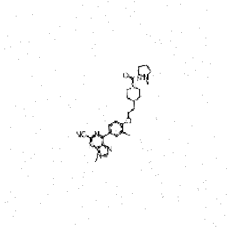 Cc1cc(-c2nc(C#N)nc3c2ncn3C)ccc1OCCC1CCN(C(=O)[C@@H]2CCCN2C)CC1